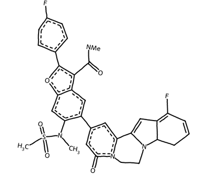 CNC(=O)c1c(-c2ccc(F)cc2)oc2cc(N(C)S(C)(=O)=O)c(-c3cc4n(c(=O)c3)CCN3C4=CC4=C(F)C=CCC43)cc12